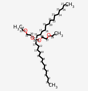 CCCCCCCCCCCCCC[Si](CCCCCCCCCCCCCC)(OCCOCC)OCCOCC